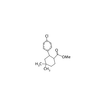 COC(=O)C1CCC(C)(C)CC1c1ccc(Cl)cc1